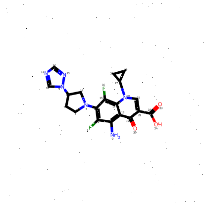 Nc1c(F)c(N2CCC(n3cncn3)C2)c(F)c2c1c(=O)c(C(=O)O)cn2C1CC1